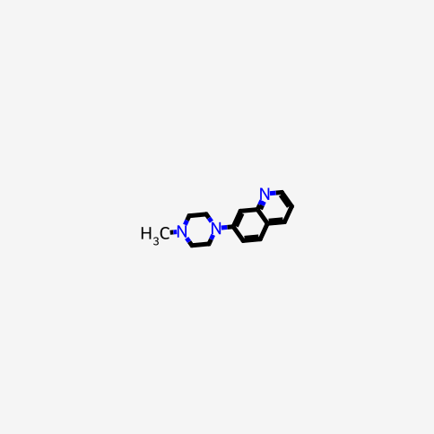 CN1CCN(c2ccc3cccnc3c2)CC1